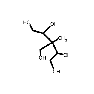 CC(CO)(C(O)CO)C(O)CO